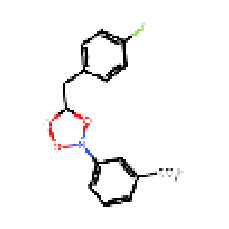 O=C(O)c1cccc(N2OOC(Cc3ccc(F)cc3)O2)c1